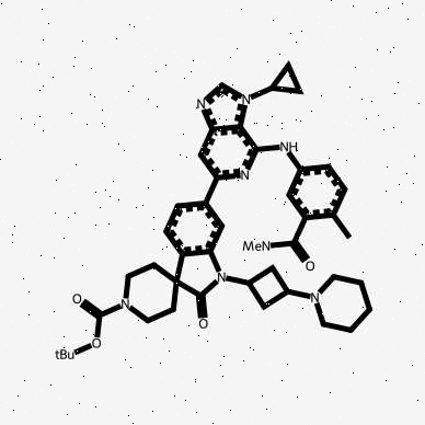 CNC(=O)c1cc(Nc2nc(-c3ccc4c(c3)N(C3CC(N5CCCCC5)C3)C(=O)C43CCN(C(=O)OC(C)(C)C)CC3)cc3ncn(C4CC4)c23)ccc1C